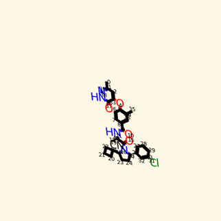 Cc1cc(Oc2ccc(C(=O)N[C@H](C)C(=O)N3C(C4(C#N)CCC4)CC[C@H]3c3cccc(Cl)c3)cc2C)c(=O)[nH]n1